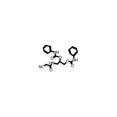 N#CCC(=O)NCC(COC(=O)Nc1ccccc1)OC(=O)Nc1ccccc1